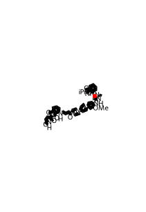 COc1cc(N2CCC(N3CCN(C(=O)CCCNc4cccc5c4C(=O)N(C4CCC(=O)NC4=O)C5=O)CC3)CC2)ccc1Nc1ncnc(Nc2ccccc2S(=O)(=O)C(C)C)n1